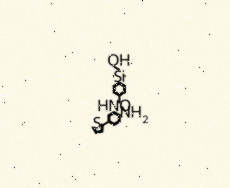 C[Si](C)(CCO)c1ccc(C(=O)Nc2cc(-c3cccs3)ccc2N)cc1